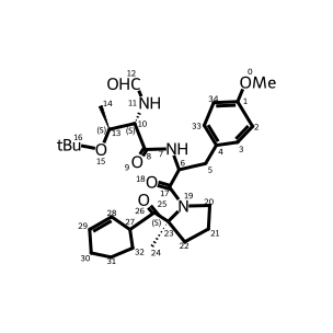 COc1ccc(CC(NC(=O)[C@@H](NC=O)[C@H](C)OC(C)(C)C)C(=O)N2CCC[C@@]2(C)C(=O)C2C=CCCC2)cc1